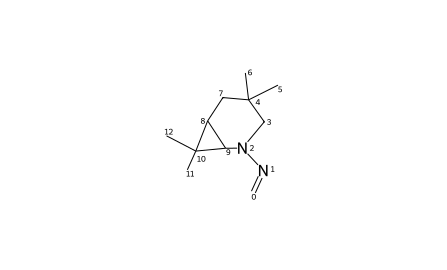 C=NN1CC(C)(C)CC2C1C2(C)C